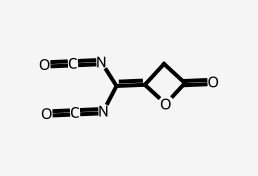 O=C=NC(N=C=O)=C1CC(=O)O1